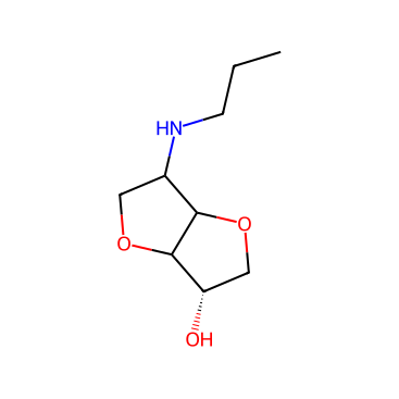 CCCNC1COC2C1OC[C@@H]2O